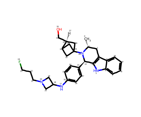 C[C@@H]1Cc2c([nH]c3ccccc23)[C@@H](c2ccc(NC3CN(CCCF)C3)cc2)N1C12CC(C1)[C@@H](CO)C2